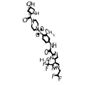 Cc1cc(NC(=O)c2ncc(-c3cn(CC(F)F)nc3C(F)(F)F)n2C)ccc1S(=O)(=O)N1CCN(C(=O)[C@H]2C[C@H](O)CN2)CC1